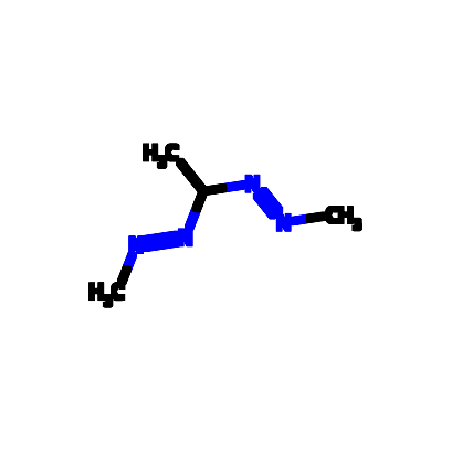 C/N=N/C(C)/N=N/C